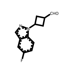 O=CC1CC(n2ncc3cc(F)ccc32)C1